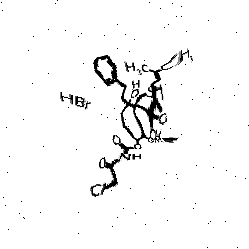 Br.COC1C(OC(=O)NC(=O)CCl)CCC(O)(CCc2ccccc2)C1(CS)C1(C)OC1CC=C(C)C